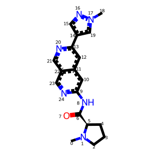 CN1CCC[C@@H]1C(=O)Nc1cc2cc(-c3cnn(C)c3)ncc2cn1